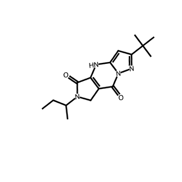 CCC(C)N1Cc2c([nH]c3cc(C(C)(C)C)nn3c2=O)C1=O